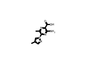 Cc1cnn(-c2nc(N)c(C(=O)O)nc2C)c1